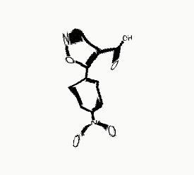 O=C(O)c1cnoc1-c1ccc([N+](=O)[O-])cc1